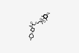 COc1cc(C)c(S(=O)(=O)N(C)CCOCC(=O)N(C)[C@@H]2CC[C@H](N3CCN(C)CC3)C2)c(C)c1